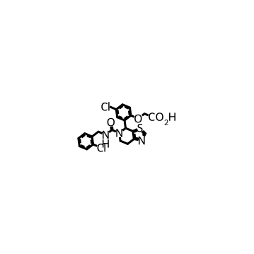 O=C(O)COc1ccc(Cl)cc1C1c2scnc2CCN1C(=O)NCc1ccccc1Cl